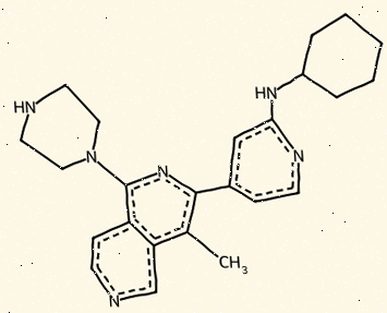 Cc1c(-c2ccnc(NC3CCCCC3)c2)nc(N2CCNCC2)c2ccncc12